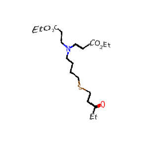 CCOC(=O)CCN(CCCCSCCC(=O)CC)CCC(=O)OCC